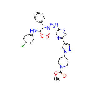 CN(C(=O)c1nc(-c2cnn(C3CCN(C(=O)OC(C)(C)C)CC3)c2)cnc1N)[C@@H](C(=O)Nc1ccc(F)cc1)c1ccccc1